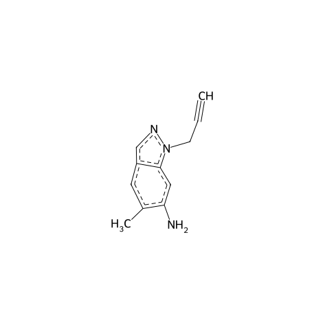 C#CCn1ncc2cc(C)c(N)cc21